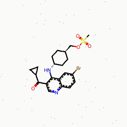 CS(=O)(=O)OC[C@H]1CC[C@H](Nc2c(C(=O)C3CC3)cnc3ccc(Br)cc23)CC1